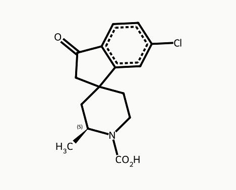 C[C@H]1CC2(CCN1C(=O)O)CC(=O)c1ccc(Cl)cc12